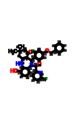 CC1(C)CC(=O)C2=C(C1)Nc1c(O)cccc1N(C(=O)c1cccc(F)n1)C2c1ccc(OCc2ccccc2)cc1F